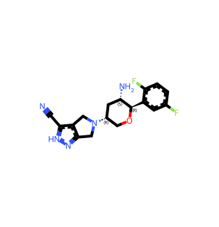 N#Cc1[nH]nc2c1CN([C@H]1CO[C@H](c3cc(F)ccc3F)[C@@H](N)C1)C2